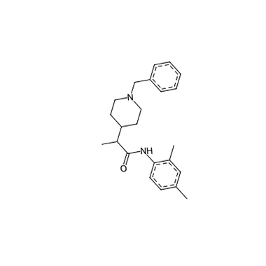 Cc1ccc(NC(=O)C(C)C2CCN(Cc3ccccc3)CC2)c(C)c1